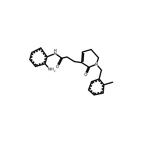 Cc1ccccc1CN1CCC=C(CCC(=O)Nc2ccccc2N)C1=O